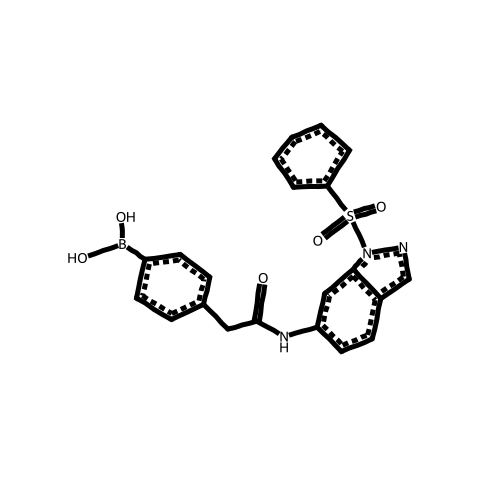 O=C(Cc1ccc(B(O)O)cc1)Nc1ccc2cnn(S(=O)(=O)c3ccccc3)c2c1